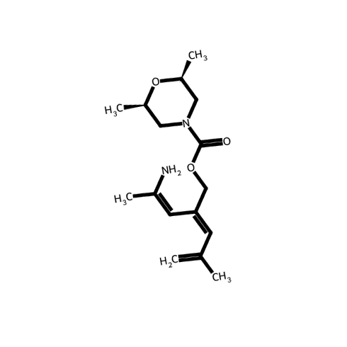 C=C(C)/C=C(\C=C(\C)N)COC(=O)N1C[C@@H](C)O[C@@H](C)C1